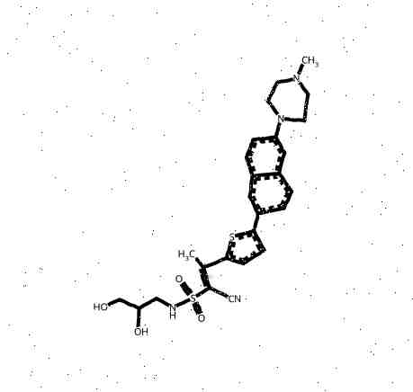 C/C(=C(/C#N)S(=O)(=O)NCC(O)CO)c1ccc(-c2ccc3cc(N4CCN(C)CC4)ccc3c2)s1